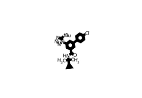 CC(C)(C)c1nnnn1-c1cc(C(=O)NC(C)(C)C2CC2)cc(-c2ccc(Cl)cc2)c1